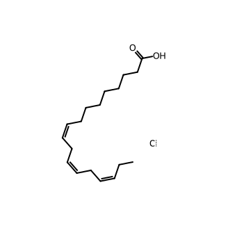 CC/C=C\C/C=C\C/C=C\CCCCCCCC(=O)O.[C]